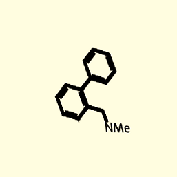 CNCc1[c]cccc1-c1ccccc1